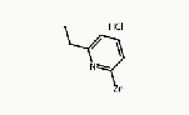 CCc1ccc[c]([Zn])n1.Cl